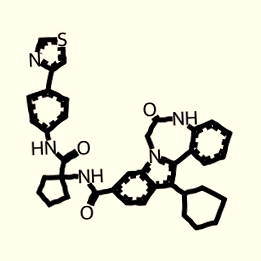 O=C1Cn2c(c(C3CCCCC3)c3ccc(C(=O)NC4(C(=O)Nc5ccc(-c6cscn6)cc5)CCCC4)cc32)-c2ccccc2N1